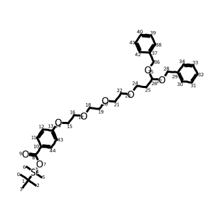 CC(C)(C)[Si](C)(C)OC(=O)c1ccc(OCCOCCOCCOCCC(OCc2ccccc2)OCc2ccccc2)cc1